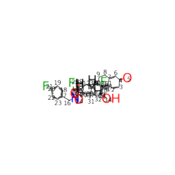 C[C@]12C=CC(=O)C=C1CC[C@H]1[C@@H]3C[C@H]4CN(Cc5ccc(F)cc5)O[C@@]4(C(=O)CF)[C@@]3(C)C[C@H](O)[C@@]12F